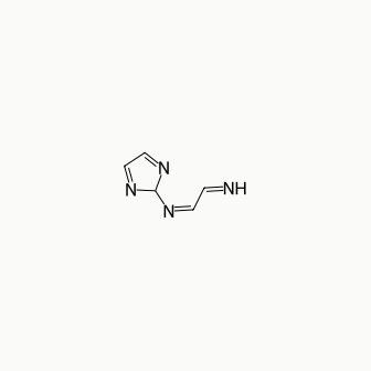 N=C/C=N\C1N=CC=N1